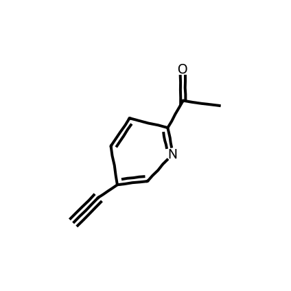 C#Cc1ccc(C(C)=O)nc1